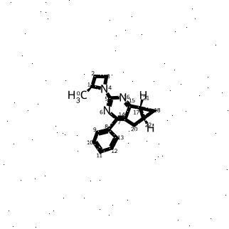 C[C@H]1CCN1c1nc(-c2ccccc2)c2c(n1)[C@@H]1C[C@@H]1C2